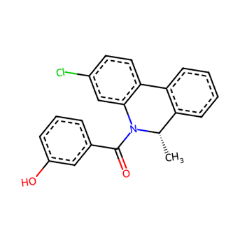 C[C@H]1c2ccccc2-c2ccc(Cl)cc2N1C(=O)c1cccc(O)c1